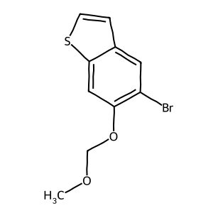 COCOc1cc2sccc2cc1Br